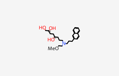 COCCN(CCCc1ccc2ccccc2c1)CCC[C@@H](O)CC[C@H](O)CO